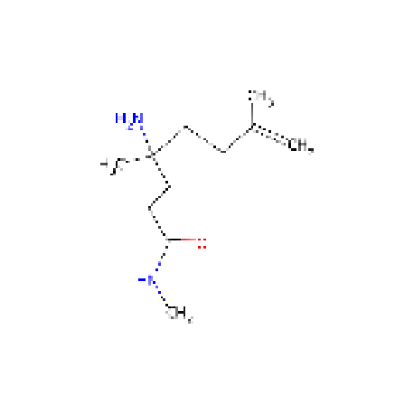 C=C(C)CCC(C)(N)CCC(=O)NC